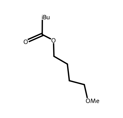 CCC(C)C(=O)OCCCCOC